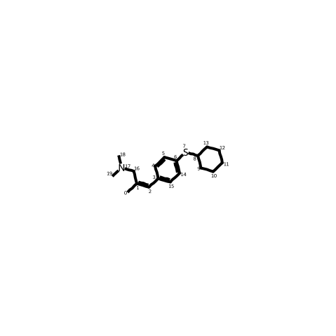 CC(=Cc1ccc(SC2CCCCC2)cc1)CN(C)C